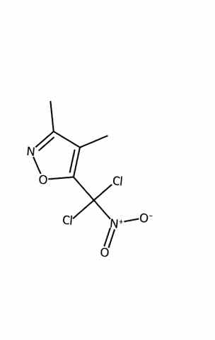 Cc1noc(C(Cl)(Cl)[N+](=O)[O-])c1C